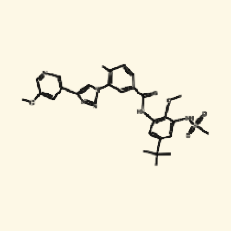 COc1cncc(-c2cn(-c3cc(C(=O)Nc4cc(C(C)(C)C)cc(NS(C)(=O)=O)c4OC)ccc3C)nn2)c1